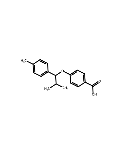 Cc1ccc(C(Oc2ccc(C(=O)O)cc2)C(C)N)cc1